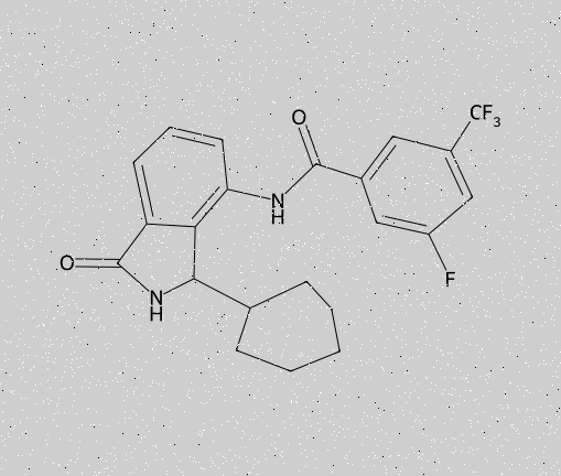 O=C(Nc1cccc2c1C(C1CCCCC1)NC2=O)c1cc(F)cc(C(F)(F)F)c1